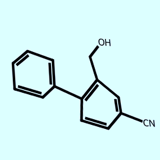 N#Cc1ccc(-c2ccccc2)c(CO)c1